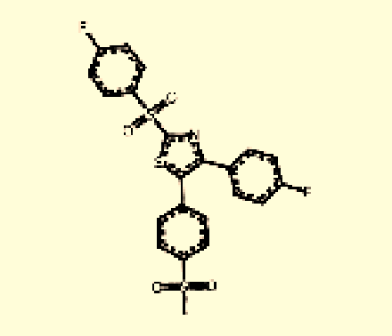 CS(=O)(=O)c1ccc(-c2sc(S(=O)(=O)c3ccc(F)cc3)nc2-c2ccc(F)cc2)cc1